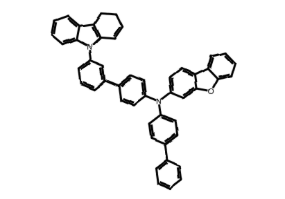 C1=Cc2c(c3ccccc3n2-c2cccc(-c3ccc(N(c4ccc(-c5ccccc5)cc4)c4ccc5c(c4)oc4ccccc45)cc3)c2)CC1